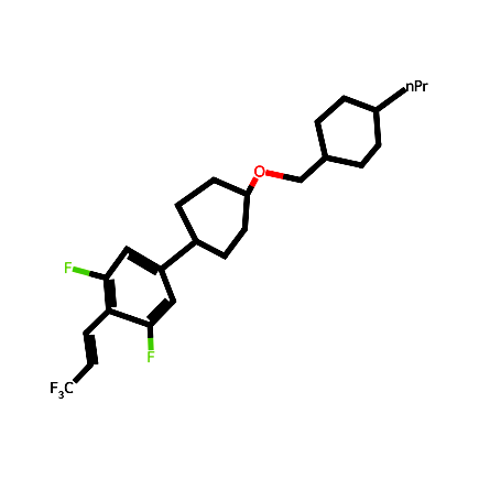 CCCC1CCC(COC2CCC(c3cc(F)c(/C=C/C(F)(F)F)c(F)c3)CC2)CC1